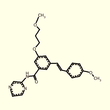 COCCCOc1cc(/C=C/c2ccc(OC)cc2)cc(C(=O)Nc2cnccn2)c1